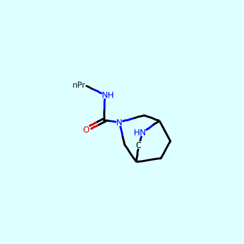 CCCNC(=O)N1CC2CCC(C1)NC2